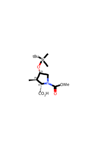 COC(=O)N1C[C@@H](O[Si](C)(C)C(C)(C)C)[C@H](C)[C@H]1C(=O)O